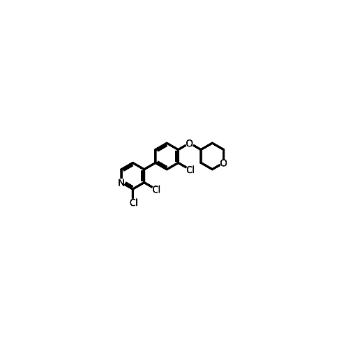 Clc1cc(-c2ccnc(Cl)c2Cl)ccc1OC1CCOCC1